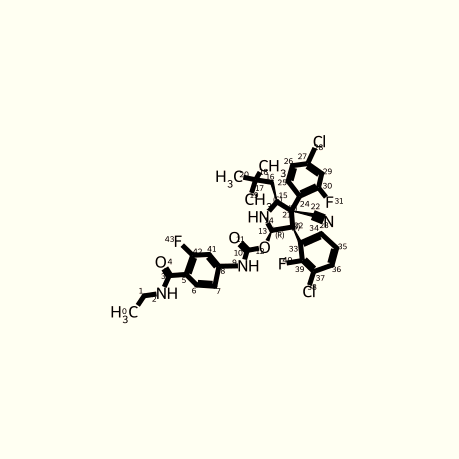 CCNC(=O)c1ccc(NC(=O)O[C@H]2N[C@@H](CC(C)(C)C)[C@](C#N)(c3ccc(Cl)cc3F)[C@H]2c2cccc(Cl)c2F)cc1F